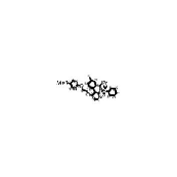 CSc1cnc(OCCOc2ncnc(N(CC(C)C)S(=O)(=O)c3ccccc3)c2-c2ccc(C)cc2)nc1